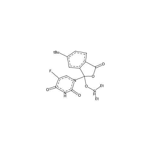 CC[SiH](CC)OC1(n2cc(F)c(=O)[nH]c2=O)OC(=O)c2ccc(C(C)(C)C)cc21